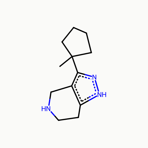 CC1(c2n[nH]c3c2CNCC3)CCCC1